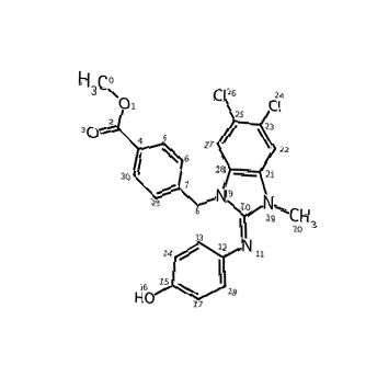 COC(=O)c1ccc(Cn2c(=Nc3ccc(O)cc3)n(C)c3cc(Cl)c(Cl)cc32)cc1